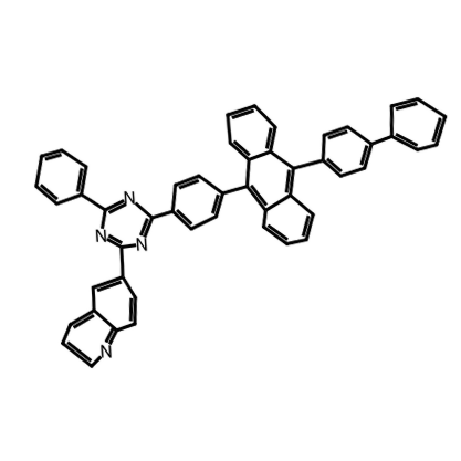 c1ccc(-c2ccc(-c3c4ccccc4c(-c4ccc(-c5nc(-c6ccccc6)nc(-c6ccc7ncccc7c6)n5)cc4)c4ccccc34)cc2)cc1